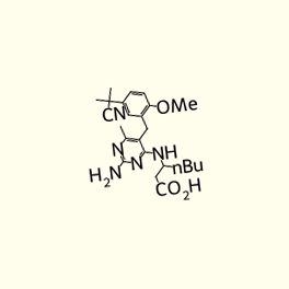 CCCCC(CC(=O)O)Nc1nc(N)nc(C)c1Cc1cc(C(C)(C)C#N)ccc1OC